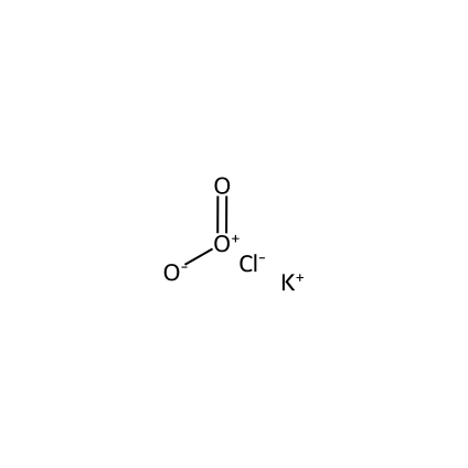 O=[O+][O-].[Cl-].[K+]